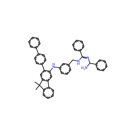 CC1(C)c2ccccc2-c2cc(Nc3cccc(CN/C(=N\C(N)c4ccccc4)c4ccccc4)c3)c(-c3ccc(-c4ccccc4)cc3)cc21